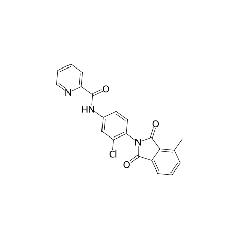 Cc1cccc2c1C(=O)N(c1ccc(NC(=O)c3ccccn3)cc1Cl)C2=O